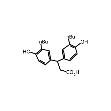 CCCCc1cc(C(CC(=O)O)c2ccc(O)c(CCCC)c2)ccc1O